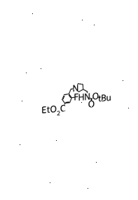 CCOC(=O)c1ccc(CN2CCC(CNC(=O)OC(C)(C)C)C2)c(F)c1